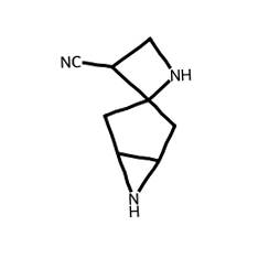 N#CC1CNC12CC1NC1C2